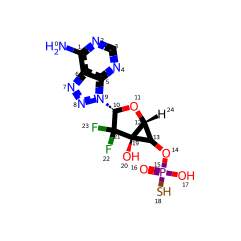 Nc1ncnc2c1nnn2[C@@H]1O[C@@H]2C(OP(=O)(O)S)[C@]2(O)C1(F)F